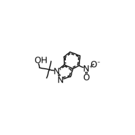 CC(C)(CO)n1ncc2c([N+](=O)[O-])cccc21